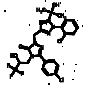 CC(C)(O)c1nc(Cn2nc(-c3ccc(Cl)cc3)n(CC(O)C(F)(F)F)c2=O)nn1-c1ccccc1Cl